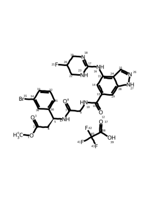 COC(=O)C[C@H](NC(=O)CNC(=O)c1cc(NC2=NCC(F)CN2)c2cn[nH]c2c1)c1cccc(Br)c1.O=C(O)C(F)(F)F